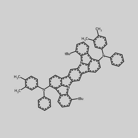 Cc1ccc(N(c2ccccc2)c2ccc3c4cc5c(cc4n4c6c(C(C)(C)C)cccc6c2c34)c2ccc(N(c3ccccc3)c3ccc(C)c(C)c3)c3c4cccc(C(C)(C)C)c4n5c23)cc1C